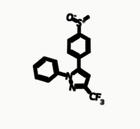 C[S+]([O-])c1ccc(-c2cc(C(F)(F)F)nn2-c2ccccc2)cc1